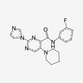 O=C(Nc1cccc(F)c1)c1nc(-n2ccnc2)ncc1N1CCCCC1